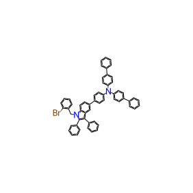 Brc1ccccc1Cn1c(-c2ccccc2)c(-c2ccccc2)c2cc(-c3ccc(N(c4ccc(-c5ccccc5)cc4)c4ccc(-c5ccccc5)cc4)cc3)ccc21